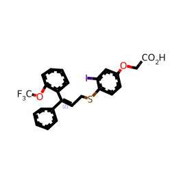 O=C(O)COc1ccc(SC/C=C(/c2ccccc2)c2ccccc2OC(F)(F)F)c(I)c1